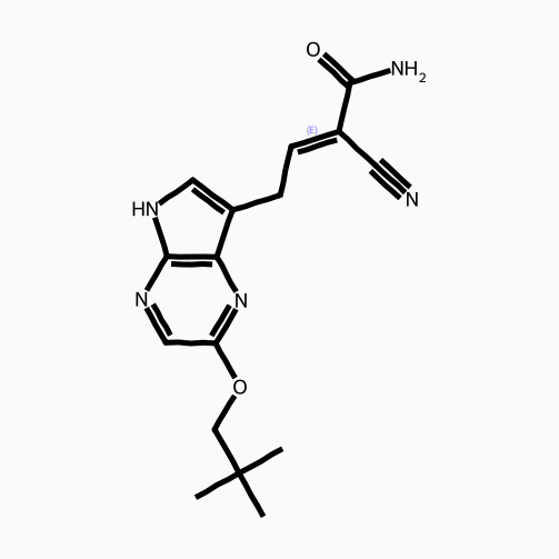 CC(C)(C)COc1cnc2[nH]cc(C/C=C(\C#N)C(N)=O)c2n1